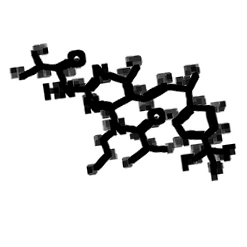 CCCN(C(=O)C(C)C)c1nc(NC(=O)C(C)C)nc(C)c1C=CC(C)c1ccc(C(F)(F)F)cc1